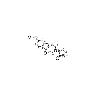 COc1ccc2c(c1)CC1(CCN(C3CCNC3=O)CC1)C2=O